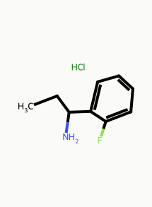 CCC(N)c1ccccc1F.Cl